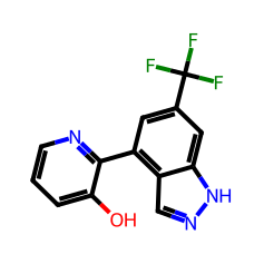 Oc1cccnc1-c1cc(C(F)(F)F)cc2[nH]ncc12